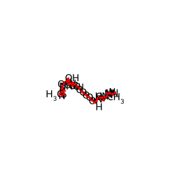 Cc1ncsc1-c1ccc(CNC(=O)C#CC2C[C@@H](O)CN2C(=O)C(/C=N\C(=O)CCOCCOCCOCCOCCOCCOc2cccc(CNC(=O)c3cccc(NCc4nnc(-c5ccncn5)n4C)c3)c2)C(C)(C)C)cc1